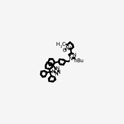 CCCCc1nc(-c2cccc(C)[n+]2[O-])cn1Cc1ccc(-c2ccccc2-c2nnnn2C(c2ccccc2)(c2ccccc2)c2ccccc2)cc1